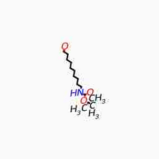 CC(C)(C)OC(=O)NCCCCCCCCCC=O